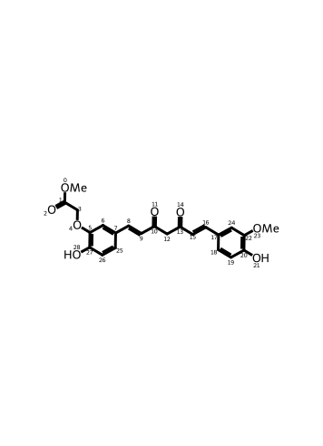 COC(=O)COc1cc(C=CC(=O)CC(=O)C=Cc2ccc(O)c(OC)c2)ccc1O